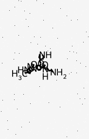 Cc1cc2cn(-c3ccc(C(=O)NCCCN)c(OCC4CCNCC4)c3)c(=O)nc2[nH]1